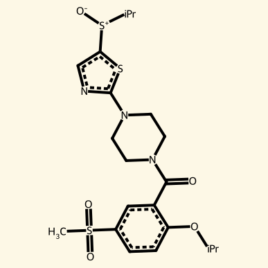 CC(C)Oc1ccc(S(C)(=O)=O)cc1C(=O)N1CCN(c2ncc([S+]([O-])C(C)C)s2)CC1